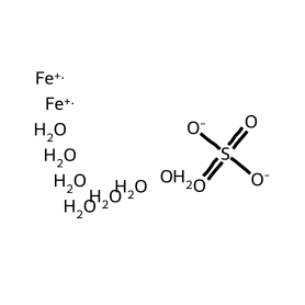 O.O.O.O.O.O.O.O=S(=O)([O-])[O-].[Fe+].[Fe+]